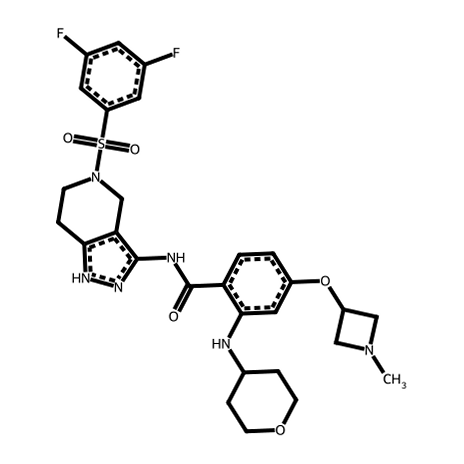 CN1CC(Oc2ccc(C(=O)Nc3n[nH]c4c3CN(S(=O)(=O)c3cc(F)cc(F)c3)CC4)c(NC3CCOCC3)c2)C1